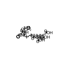 CC(C)(CCC(C)(C)NC(=O)CC[C@H](NC(=O)N[C@@H](CCC(=O)O)C(=O)O)C(=O)O)CC(=O)NC(Cc1ccccc1)C(=O)N[C@@H](Cc1ccccc1)C(N)=O